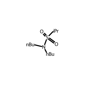 CCCCN(CCCC)S(=O)(=O)C(C)C